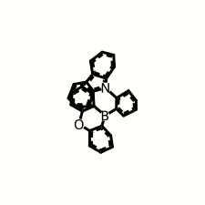 c1ccc2c(c1)Oc1ccccc1B2c1ccccc1-n1c2ccccc2c2ccccc21